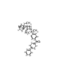 CCC1(NC(=O)NC(C)(C)c2ccc(C(=O)N3CCN(c4ccccc4)CC3)cc2)CN2CCC1CC2